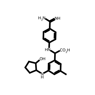 Cc1cc(NC2CCCC2O)cc(C(Nc2ccc(C(=N)N)cc2)C(=O)O)c1